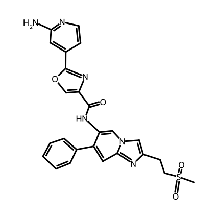 CS(=O)(=O)CCc1cn2cc(NC(=O)c3coc(-c4ccnc(N)c4)n3)c(-c3ccccc3)cc2n1